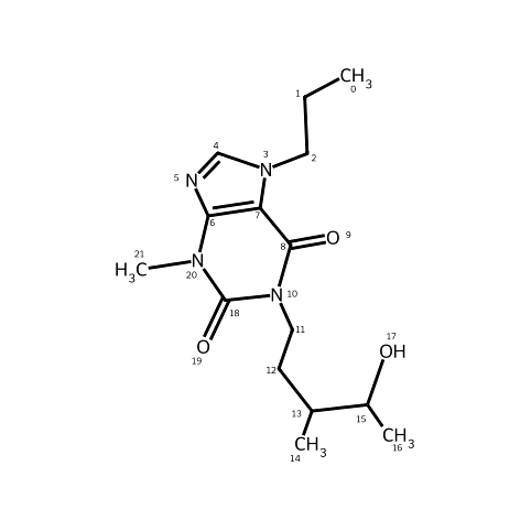 CCCn1cnc2c1c(=O)n(CCC(C)C(C)O)c(=O)n2C